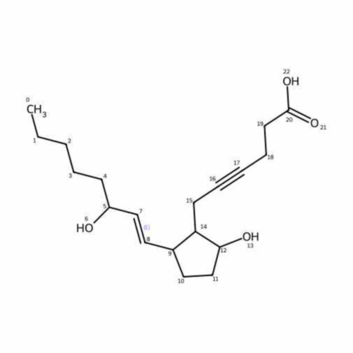 CCCCCC(O)/C=C/C1CCC(O)C1CC#CCCC(=O)O